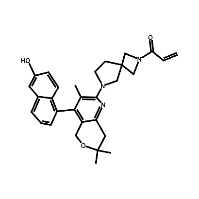 C=CC(=O)N1CC2(CCN(c3nc4c(c(-c5cccc6cc(O)ccc56)c3C)COC(C)(C)C4)C2)C1